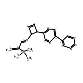 C=C(/C=N/C1C=CC1c1ccc(-c2ccccc2)cc1)[Si](C)(C)C